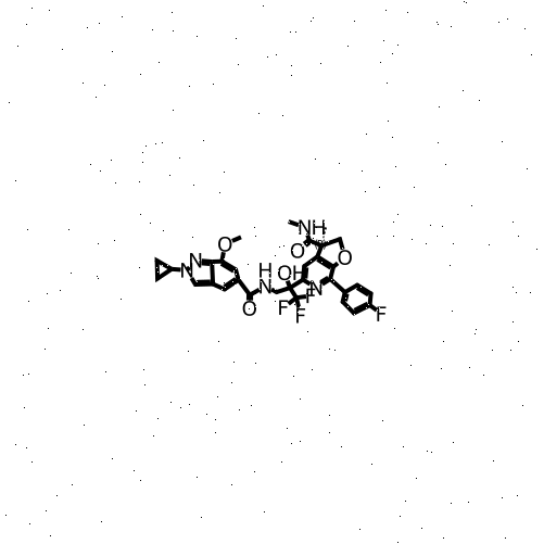 CNC(=O)[C@@]1(C)COc2c1cc(C(O)(CNC(=O)c1cc(OC)c3nn(C4CC4)cc3c1)C(F)(F)F)nc2-c1ccc(F)cc1